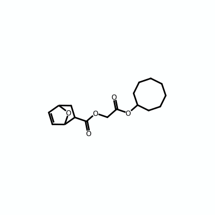 O=C(COC(=O)C1CC2C=CC1O2)OC1CCCCCCC1